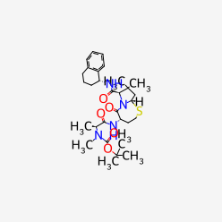 C[C@@H](C(=O)N[C@H]1CCS[C@H]2CC(C)(C)[C@H](C(=O)N[C@@H]3CCCc4ccccc43)N2C1=O)N(C)C(=O)OC(C)(C)C